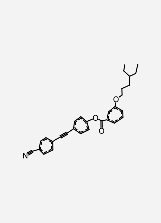 CCC(CC)CCCOc1cccc(C(=O)Oc2ccc(C#Cc3ccc(C#N)cc3)cc2)c1